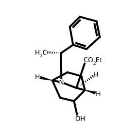 CCOC(=O)[C@H]1[C@@H]2CC[C@@H](CC2O)N1[C@H](C)c1ccccc1